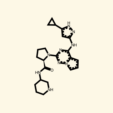 O=C(NC1CCCNC1)[C@H]1CCCN1c1nc(Nc2cc(C3CC3)[nH]n2)c2cccn2n1